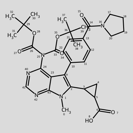 Cn1c(C2CC2C(=O)O)c(-c2ccc(C(=O)N3CCCC3)cc2)c2c(N(C(=O)OC(C)(C)C)C(=O)OC(C)(C)C)ncnc21